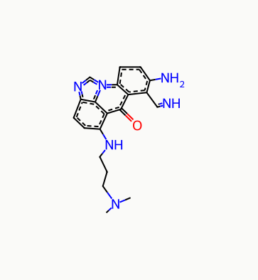 CN(C)CCCNc1ccc2ncn3c4ccc(N)c(C=N)c4c(=O)c1c23